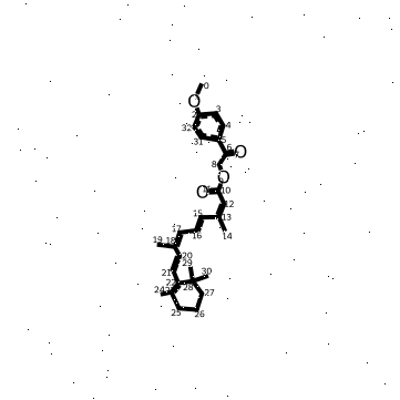 COc1ccc(C(=O)COC(=O)/C=C(/C)C=CC=C(C)C=CC2=C(C)CCCC2(C)C)cc1